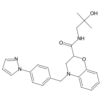 CC(C)(O)CNC(=O)C1CN(Cc2ccc(-n3cccn3)cc2)c2ccccc2O1